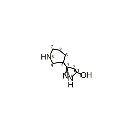 Oc1cc(C2CCCNC2)n[nH]1